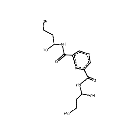 O=C(NC(O)CCO)c1cncc(C(=O)NC(O)CCO)n1